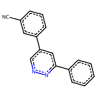 N#Cc1cccc(-c2cnnc(-c3ccccc3)c2)c1